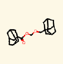 O=C(OCOCC12CC3CC(CC(C3)C1)C2)C12CC3CC(CC(C3)C1)C2